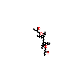 CCCC(CCCOc1c(C(C)(C)CC)cc(CCc2cc(C(C)(C)CC)c(OCCCC(CCC)C3CO3)c(C(C)(C)CC)c2)cc1C(C)(C)CC)C1CO1